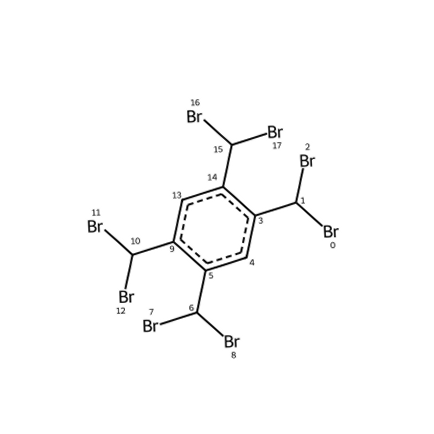 BrC(Br)c1cc(C(Br)Br)c(C(Br)Br)cc1C(Br)Br